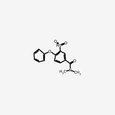 CN(C)C(=O)c1ccc(Oc2ccccc2)c([SH](=O)=O)c1